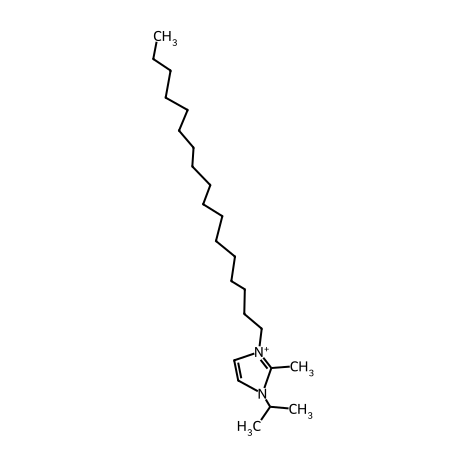 CCCCCCCCCCCCCCCCC[n+]1ccn(C(C)C)c1C